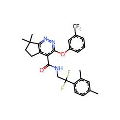 Cc1ccc(C(F)(F)CNC(=O)c2c(Oc3cccc(C(F)(F)F)c3)nnc3c2CCC3(C)C)c(C)c1